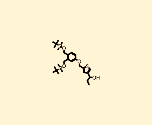 CCC(O)c1csc(COc2ccc(CO[Si](C)(C)C(C)(C)C)c(CO[Si](C)(C)C(C)(C)C)c2)c1